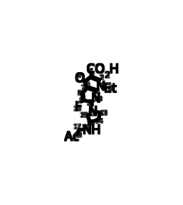 CCn1cc(C(=O)O)c(=O)c2cc(F)c(N3CCC(NCC(C)=O)C3)nc21